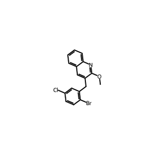 COc1nc2ccccc2cc1Cc1cc(Cl)ccc1Br